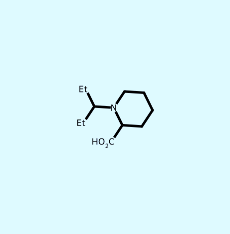 CCC(CC)N1CCCCC1C(=O)O